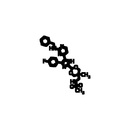 CC1(CNS(C)(=O)=O)COC(c2nc(-c3ccc(F)cc3)c(-c3ccnc(NCc4ccccc4)n3)[nH]2)OC1